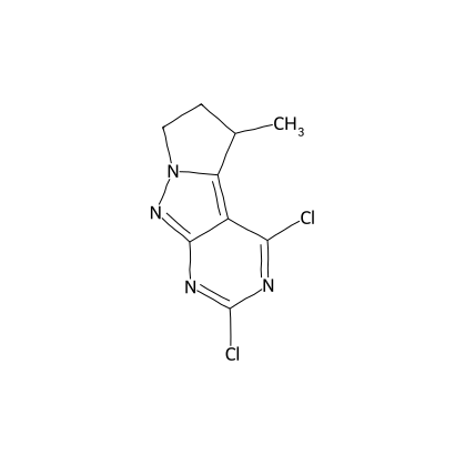 CC1CCn2nc3nc(Cl)nc(Cl)c3c21